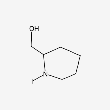 OCC1CCCCN1I